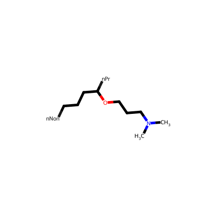 CCCCCCCCCCCCC(CCC)OCCCN(C)C